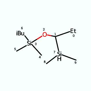 CCC(O[Si](C)(C)C(C)CC)[SiH](C)C